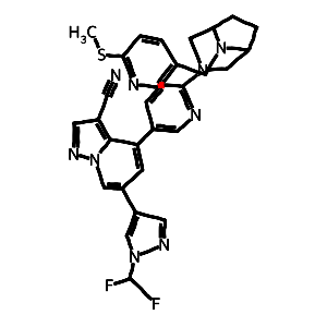 CSc1ccc(CN2C3CCC2CN(c2ccc(-c4cc(-c5cnn(C(F)F)c5)cn5ncc(C#N)c45)cn2)C3)cn1